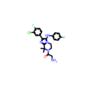 CC1(C)c2nc(-c3ccc(F)c(Cl)c3)c(Nc3ccc(F)cc3)n2CCN1C(=O)CN